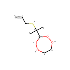 C=CCSC(C)(C)C1OOCCOO1